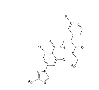 CCOC(=O)C(CNC(=O)c1c(Cl)cc(-n2cnc(C)n2)cc1Cl)c1cccc(F)c1